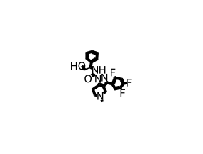 CN1CCc2c(c(-c3cc(F)c(F)cc3F)nn2C(=O)N[C@@H](CO)c2ccccc2)C1